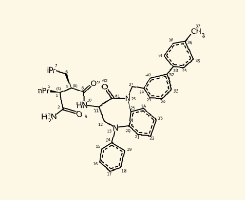 CCC[C@H](C(N)=O)[C@@H](CC(C)C)C(=O)NC1CN(c2ccccc2)c2ccccc2N(Cc2cccc(-c3ccc(C)cc3)c2)C1=O